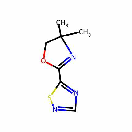 CC1(C)COC(c2ncns2)=N1